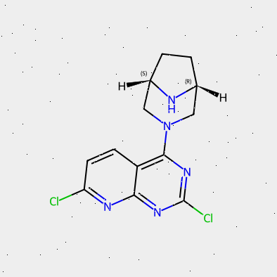 Clc1ccc2c(N3C[C@H]4CC[C@@H](C3)N4)nc(Cl)nc2n1